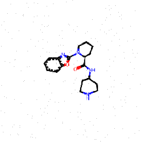 O=C(NC1CCNCC1)[C@@H]1CCCCN1c1nc2ccccc2o1